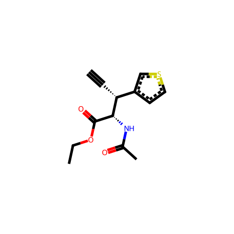 C#C[C@H](c1ccsc1)[C@H](NC(C)=O)C(=O)OCC